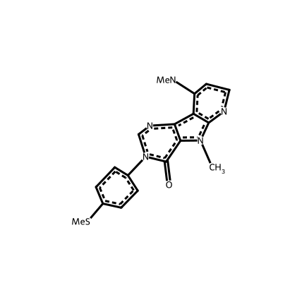 CNc1ccnc2c1c1ncn(-c3ccc(SC)cc3)c(=O)c1n2C